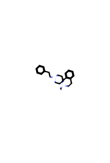 CCN1CCc2ccccc2C12CCN(CCc1ccccc1)CC2